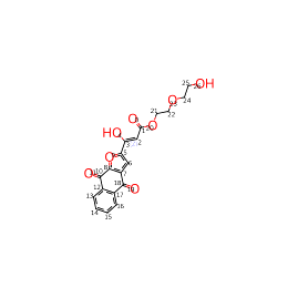 O=C(/C=C(\O)c1cc2c(o1)C(=O)c1ccccc1C2=O)OCCOCCO